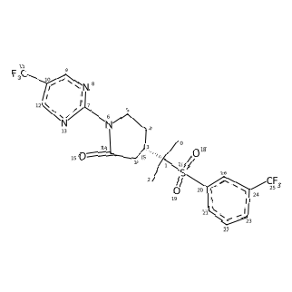 CC(C)([C@H]1CCN(c2ncc(C(F)(F)F)cn2)C(=O)C1)S(=O)(=O)c1cccc(C(F)(F)F)c1